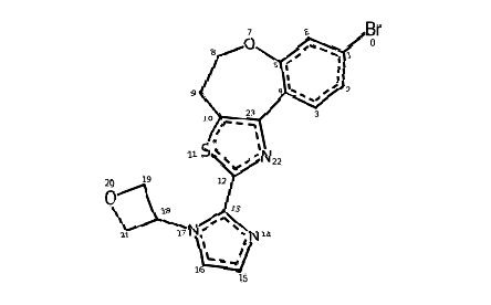 Brc1ccc2c(c1)OCCc1sc(-c3nccn3C3COC3)nc1-2